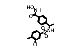 Cc1ccc(S(=O)(=O)NC(C)c2ccc(C(=O)NO)cc2)cc1Cl